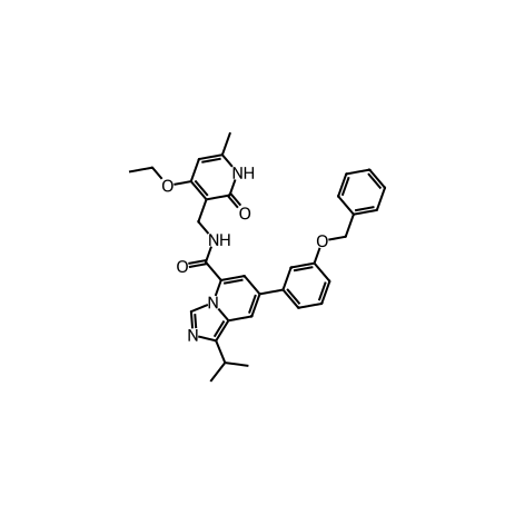 CCOc1cc(C)[nH]c(=O)c1CNC(=O)c1cc(-c2cccc(OCc3ccccc3)c2)cc2c(C(C)C)ncn12